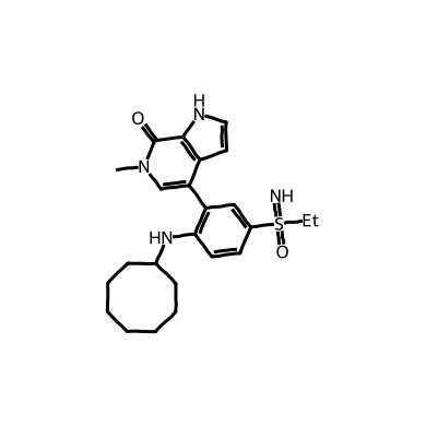 CCS(=N)(=O)c1ccc(NC2CCCCCCC2)c(-c2cn(C)c(=O)c3[nH]ccc23)c1